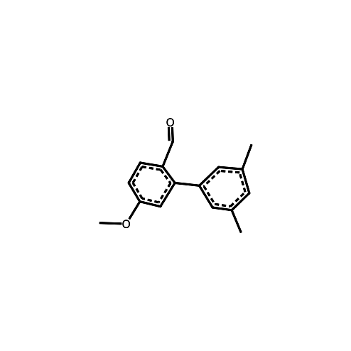 COc1ccc(C=O)c(-c2cc(C)cc(C)c2)c1